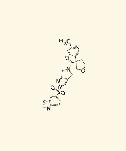 Cc1ccc([C@]2(C(=O)N3Cc4cn(S(=O)(=O)c5ccc6ncsc6c5)nc4C3)CCOC2)cn1